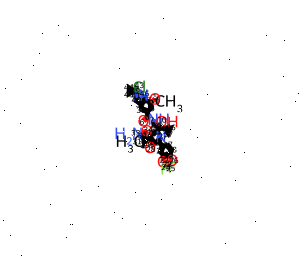 COc1cc(C(=O)NC[C@](O)(c2cc3c(c(-c4ccc5c(c4)OC(F)(F)O5)n2)OC[C@]3(C)C(N)=O)C2CC2)cc2cn(C3(Cl)CC3)nc12